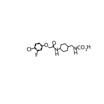 O=C(O)NCC1CCC(NC(=O)COc2ccc(Cl)c(F)c2)CC1